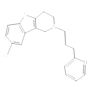 Clc1ccc2[nH]c3c(c2c1)CN(CCCc1ccccn1)CC3